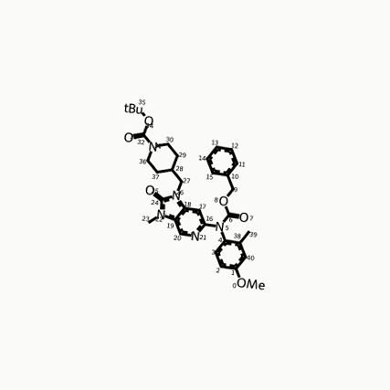 COc1ccc(N(C(=O)OCc2ccccc2)c2cc3c(cn2)n(C)c(=O)n3CC2CCN(C(=O)OC(C)(C)C)CC2)c(C)c1